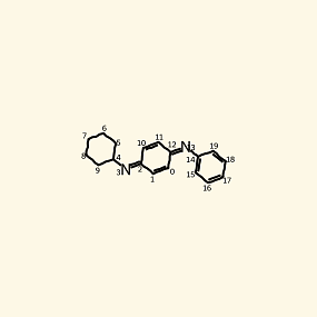 C1=CC(=NC2CCCCC2)C=CC1=Nc1ccccc1